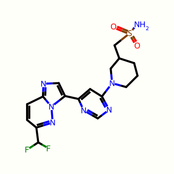 NS(=O)(=O)CC1CCCN(c2cc(-c3cnc4ccc(C(F)F)nn34)ncn2)C1